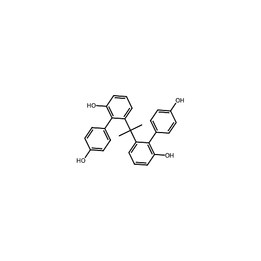 CC(C)(c1cccc(O)c1-c1ccc(O)cc1)c1cccc(O)c1-c1ccc(O)cc1